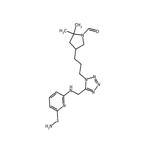 CC1(C)CC(CCCn2nnnc2CNc2cccc(SN)n2)CN1C=O